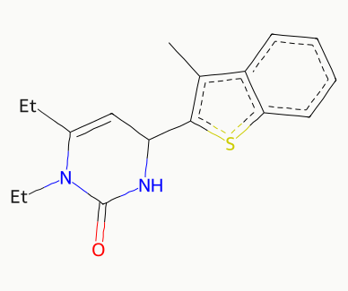 CCC1=CC(c2sc3ccccc3c2C)NC(=O)N1CC